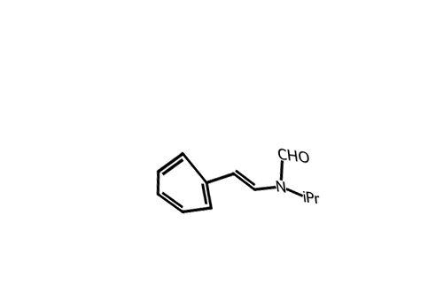 CC(C)N(C=O)C=Cc1ccccc1